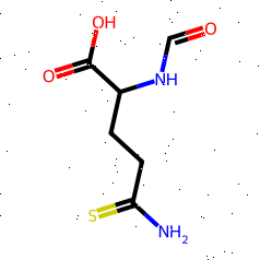 NC(=S)CCC(NC=O)C(=O)O